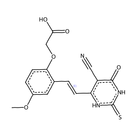 COc1ccc(OCC(=O)O)c(/C=C/c2[nH]c(=S)[nH]c(=O)c2C#N)c1